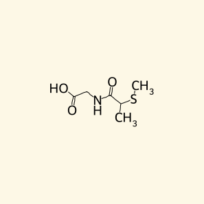 CSC(C)C(=O)NCC(=O)O